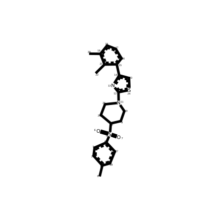 Cc1ccc(S(=O)(=O)C2CCN(c3nc(-c4cccc(C)c4C)cs3)CC2)cc1